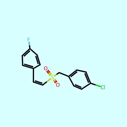 O=S(=O)(/C=C\c1ccc(F)cc1)Cc1ccc(Cl)cc1